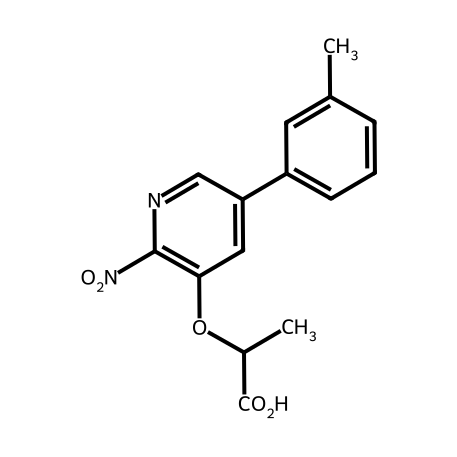 Cc1cccc(-c2cnc([N+](=O)[O-])c(OC(C)C(=O)O)c2)c1